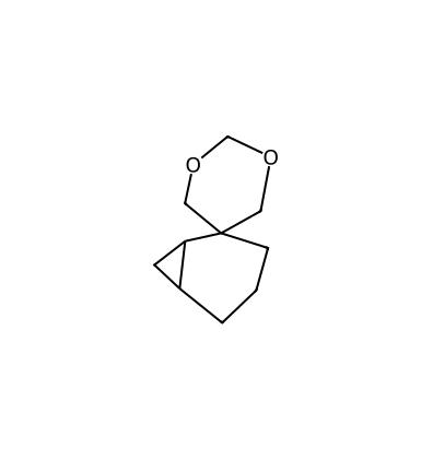 C1CC2CC2C2(C1)COCOC2